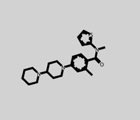 Cc1cc(N2CCC(N3CCCCC3)CC2)ccc1C(=O)N(C)c1cccs1